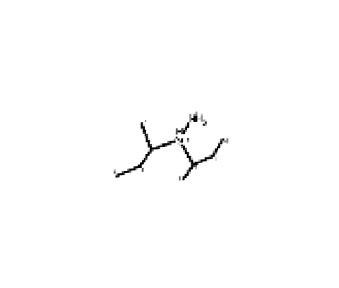 CCC(C)[SiH](N)C(C)CC